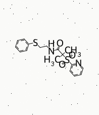 CC(C)(C(=O)NCCSc1ccccc1)S(=O)(=O)c1ccccn1